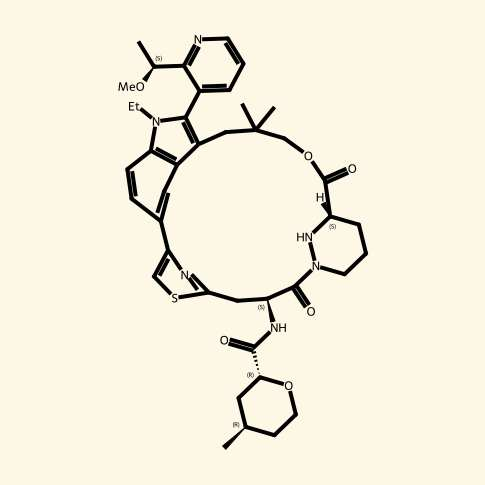 CCn1c(-c2cccnc2[C@H](C)OC)c2c3cc(ccc31)-c1csc(n1)C[C@H](NC(=O)[C@H]1C[C@H](C)CCO1)C(=O)N1CCC[C@H](N1)C(=O)OCC(C)(C)C2